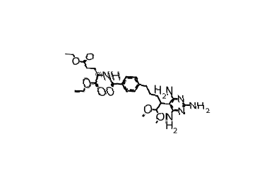 CCOC(=O)CC[C@@H](NC(=O)c1ccc(CCCC(c2c(N)nc(N)nc2N)C(OC)OC)cc1)C(=O)OCC